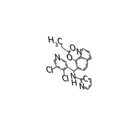 CCC(=O)Oc1c(C(Nc2ccccn2)c2cncc(Cl)c2Cl)ccc2cccnc12